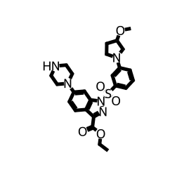 CCOC(=O)c1nn(S(=O)(=O)c2cccc(N3CCC(OC)C3)c2)c2cc(N3CCNCC3)ccc12